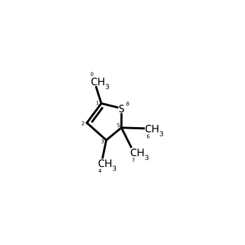 CC1=CC(C)C(C)(C)S1